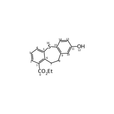 CCOC(=O)c1cccc2c1CCc1cc(O)ccc1S2